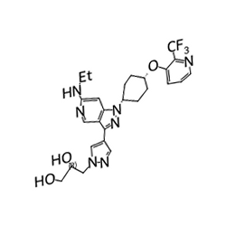 CCNc1cc2c(cn1)c(-c1cnn(C[C@@H](O)CO)c1)nn2[C@H]1CC[C@@H](Oc2cccnc2C(F)(F)F)CC1